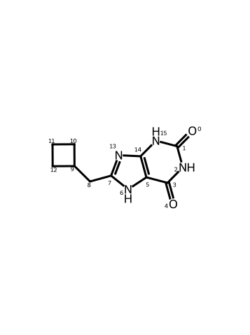 O=c1[nH]c(=O)c2[nH]c(CC3CCC3)nc2[nH]1